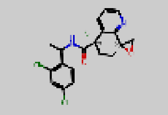 CC(NC(=O)[C@]1(F)CC[C@@]2(CO2)c2ncccc21)c1ccc(Cl)cc1Cl